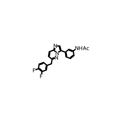 CC(=O)Nc1cccc(-c2cnc3ccc(Cc4ccc(F)c(F)c4)nn23)c1